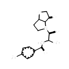 CCCC(NC(=O)c1ccc(C(C)C)cc1)C(=O)N1CCC2OCC(=O)C21